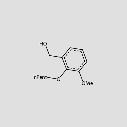 CCCCCOc1c(CO)cccc1OC